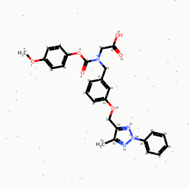 COc1ccc(OC(=O)N(CC(=O)O)Cc2cccc(OCc3nn(-c4ccccc4)nc3C)c2)cc1